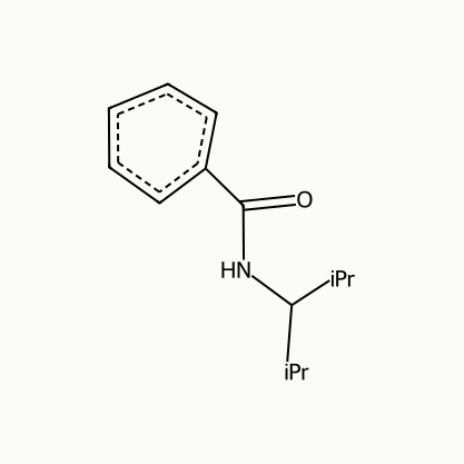 CC(C)C(NC(=O)c1ccccc1)C(C)C